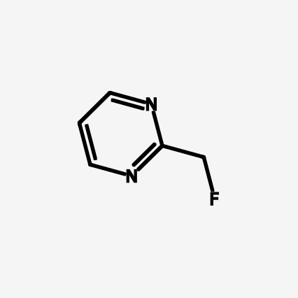 FCc1ncccn1